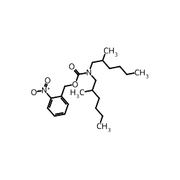 CCCCC(C)CN(CC(C)CCCC)C(=O)OCc1ccccc1[N+](=O)[O-]